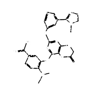 CN1CCN=C1c1cccc(Oc2nc3c(c(Oc4cc(C(=N)N)ccc4N(C)C)n2)NC(=O)CO3)c1